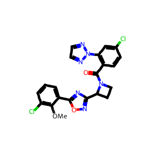 COc1c(Cl)cccc1-c1nc(C2CCN2C(=O)c2ccc(Cl)cc2-n2nccn2)no1